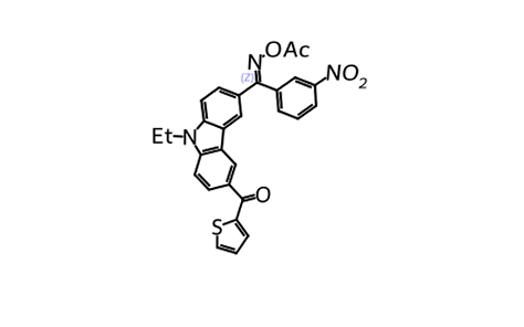 CCn1c2ccc(C(=O)c3cccs3)cc2c2cc(/C(=N/OC(C)=O)c3cccc([N+](=O)[O-])c3)ccc21